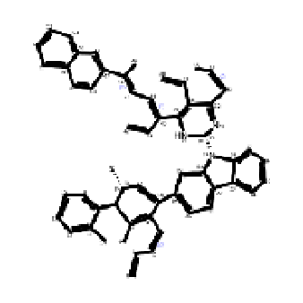 C=C/C=C\C1=C(C)C(c2ccccc2C)[C@H](C)C=C1c1ccc2c3ccccc3n([C@H]3N=C(/C=C\C)C(C=C)=C(/C(C=C)=C/C=C(\C)c4ccc5ccccc5c4)N3)c2c1